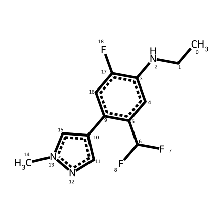 CCNc1cc(C(F)F)c(-c2cnn(C)c2)cc1F